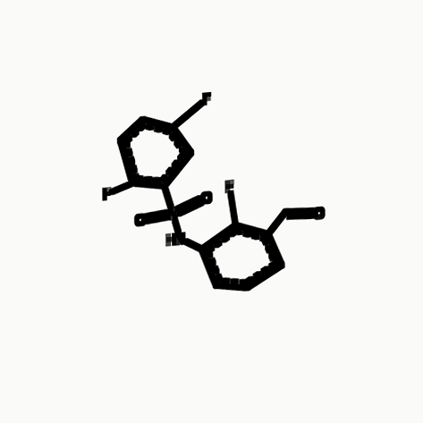 O=Cc1cccc(NS(=O)(=O)c2cc(F)ccc2F)c1F